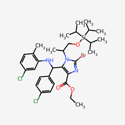 CCOC(=O)c1nc(Br)n(C(C)CO[Si](C(C)C)(C(C)C)C(C)C)c1C(Nc1cc(Cl)ccc1C)c1ccc(Cl)cc1